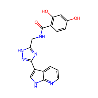 O=C(NCc1nc(-c2c[nH]c3ncccc23)n[nH]1)c1ccc(O)cc1O